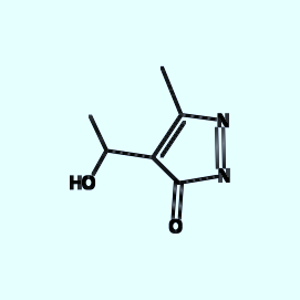 CC1=C(C(C)O)C(=O)N=N1